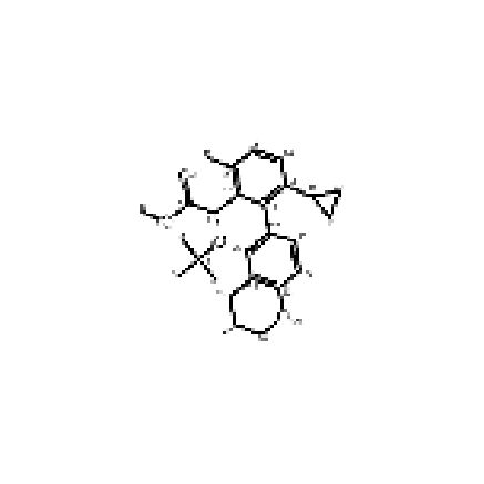 COC(=O)[C@@H](OC(C)(C)C)c1c(C)ccc(C2CC2)c1-c1ccc2c(c1)CCCO2